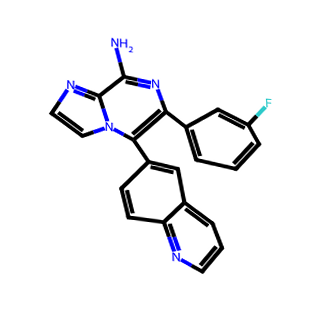 Nc1nc(-c2cccc(F)c2)c(-c2ccc3ncccc3c2)n2ccnc12